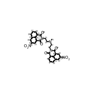 CN(CCN1C(=O)c2cccc3cc([N+](=O)[O-])cc(c23)C1=O)CCN1C(=O)c2cccc3cc([N+](=O)[O-])cc(c23)C1=O